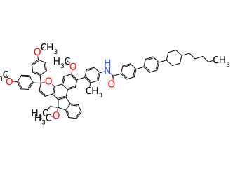 CCCCCC1CCC(c2ccc(-c3ccc(C(=O)Nc4ccc(-c5cc6c7c(c8c(c6cc5OC)OC(c5ccc(OC)cc5)(c5ccc(OC)cc5)C=C8)C(CC)(OC)c5ccccc5-7)c(C)c4)cc3)cc2)CC1